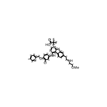 COCCNCCc1ccc2c(c1)sc1ncnc(Nc3ccc(OCc4ccccn4)c(Cl)c3)c12.O=C(O)C(F)(F)F